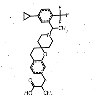 CC(Cc1ccc2c(c1)OC1(CC2)CCN(C(C)c2cc(C3CC3)ccc2C(F)(F)F)CC1)C(=O)O